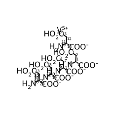 N[C@@H](CC(=O)O)C(=O)[O-].N[C@@H](CC(=O)O)C(=O)[O-].N[C@@H](CC(=O)O)C(=O)[O-].N[C@@H](CC(=O)O)C(=O)[O-].N[C@@H](CC(=O)O)C(=O)[O-].[V+5]